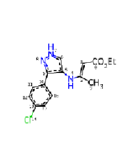 CCOC(=O)C=C(C)Nc1c[nH]nc1-c1ccc(Cl)cc1